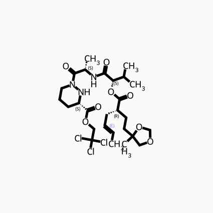 C/C=C/C[C@@H](CCC1(C)COCO1)C(=O)O[C@H](C(=O)N[C@@H](C)C(=O)N1CCC[C@@H](C(=O)OCC(Cl)(Cl)Cl)N1)C(C)C